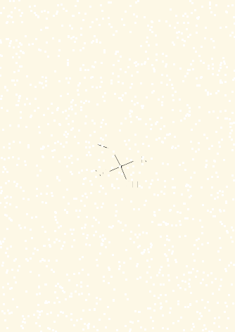 CCOC(C)(C#N)C#N